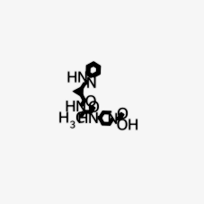 CC(NC(=O)C1CC1c1nc2ccccc2[nH]1)C(=O)NC1CCN(C(=O)O)CC1